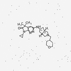 CC1(C)C(=O)N(C2CC2)c2nnc(N[C@H]3C[C@@H]4CN(CC5CCOCC5)C[C@@H]4C3)cc21